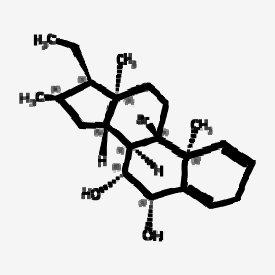 CC[C@@H]1[C@H](C)C[C@H]2[C@@H]3[C@@H](O)[C@@H](O)C4=CCC=C[C@]4(C)[C@@]3(Br)CC[C@]12C